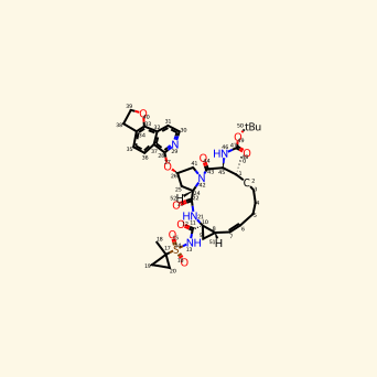 C[C@@H]1CCCC/C=C\[C@@H]2C[C@@]2(C(=O)NS(=O)(=O)C2(C)CC2)NC(=O)[C@@H]2C[C@@H](Oc3nccc4c5c(ccc34)CCO5)CN2C(=O)[C@H]1NC(=O)OC(C)(C)C